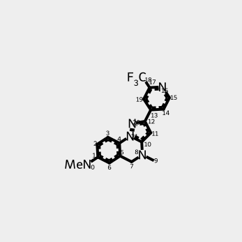 CNc1ccc2c(c1)CN(C)c1cc(-c3ccnc(C(F)(F)F)c3)nn1-2